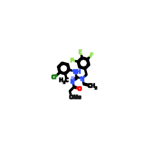 C=CN(Cc1cc(F)c(F)c(F)c1)/C(=N\C(=O)COC)Nc1cccc(Cl)c1C